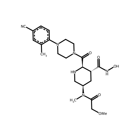 COCC(=O)N(C)[C@H]1CN[C@@H](C(=O)N2CCN(c3ccc(C#N)cc3C)CC2)[C@H](C(=O)NO)C1